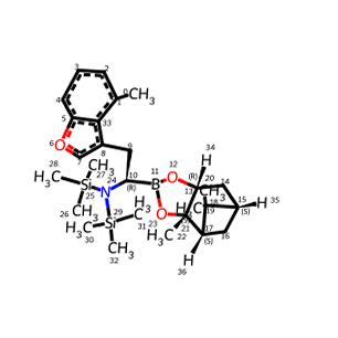 Cc1cccc2occ(C[C@@H](B3O[C@@H]4C[C@@H]5C[C@@H](C5(C)C)[C@]4(C)O3)N([Si](C)(C)C)[Si](C)(C)C)c12